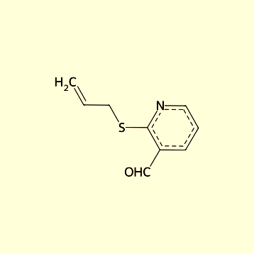 C=CCSc1ncccc1C=O